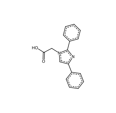 O=C(O)Cn1cc(-c2ccccc2)nc1-c1ccccc1